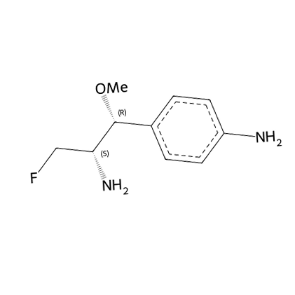 CO[C@H](c1ccc(N)cc1)[C@H](N)CF